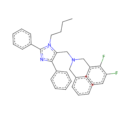 CCCCn1c(-c2ccccc2)nc(-c2ccccc2)c1CN(Cc1ccccc1)Cc1cccc(F)c1F